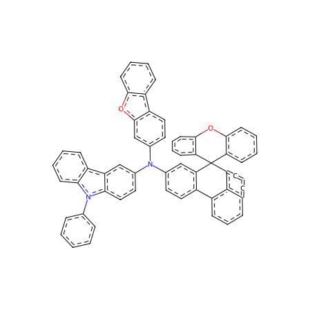 c1ccc(-n2c3ccccc3c3cc(N(c4ccc5c(c4)C4(c6ccccc6Oc6ccccc64)c4cccc6cccc-5c46)c4ccc5c(c4)oc4ccccc45)ccc32)cc1